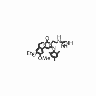 CCOc1cc2c(cc1OC)-c1c/c(=N\c3c(C)cc(C)cc3C)n(CCNc3c[nH]nn3)c(=O)n1CC2